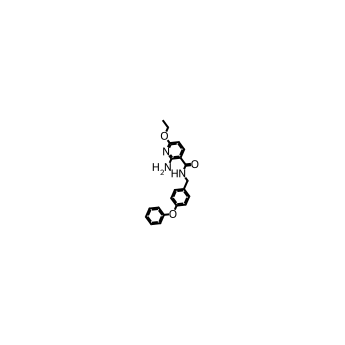 CCOc1ccc(C(=O)NCc2ccc(Oc3ccccc3)cc2)c(N)n1